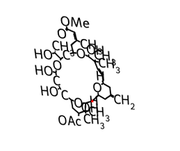 C=C1C[C@H]2C[C@]3(O)OC(CC(OC(C)=O)C3(C)C)C[C@@H](O)CC(O)OC([C@@H](C)O)CC(C/C(C)=C\C(=O)OC)OC(O)C(C)(C)/C=C/[C@@H](C1)O2